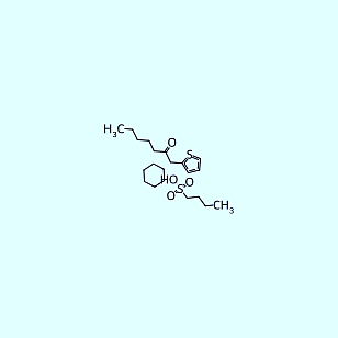 C1CCCCC1.CCCCCC(=O)Cc1cccs1.CCCCS(=O)(=O)O